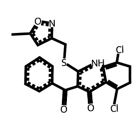 Cc1cc(CSc2[nH]c3c(c(=O)c2C(=O)c2ccccc2)=C(Cl)CCC=3Cl)no1